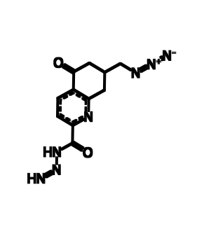 [N-]=[N+]=NCC1CC(=O)c2ccc(C(=O)NN=N)nc2C1